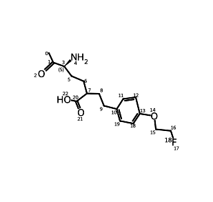 CC(=O)[C@@H](N)CCC(CCc1ccc(OCC[18F])cc1)C(=O)O